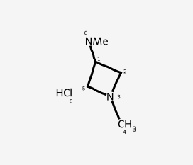 CNC1CN(C)C1.Cl